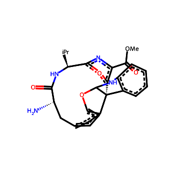 COC(=O)c1nc2oc1[C@@]13c4ccccc4NC1Oc1ccc(cc13)C[C@H](N)C(=O)N[C@H]2C(C)C